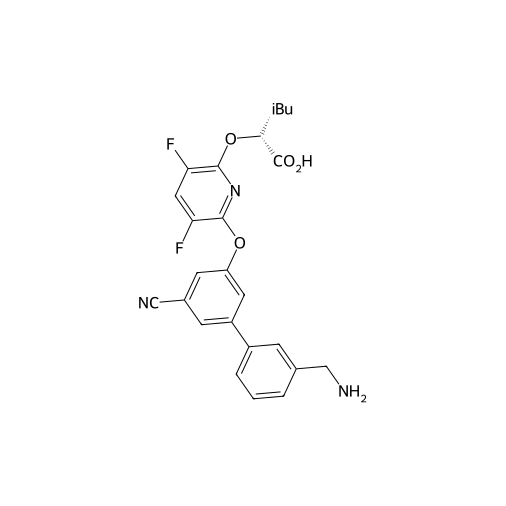 CC[C@@H](C)[C@@H](Oc1nc(Oc2cc(C#N)cc(-c3cccc(CN)c3)c2)c(F)cc1F)C(=O)O